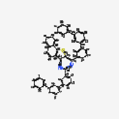 c1ccc(-c2cccc(-c3cccc(-c4nc(-c5cccc(-c6cccc(-c7ccccc7)c6)c5)c5sc6c7ccccc7ccc6c5n4)c3)c2)cc1